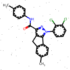 Cc1ccc(NC(=O)c2nn(-c3cccc(Cl)c3Cl)c3c2Cc2cc(C)ccc2-3)cc1